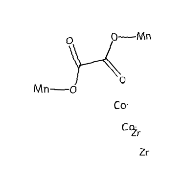 O=C([O][Mn])C(=O)[O][Mn].[Co].[Co].[Zr].[Zr]